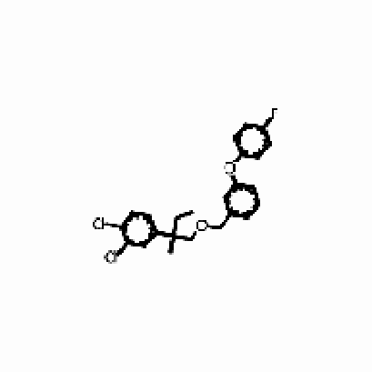 CCC(C)(COCc1cccc(Oc2ccc(F)cc2)c1)c1ccc(Cl)c(Cl)c1